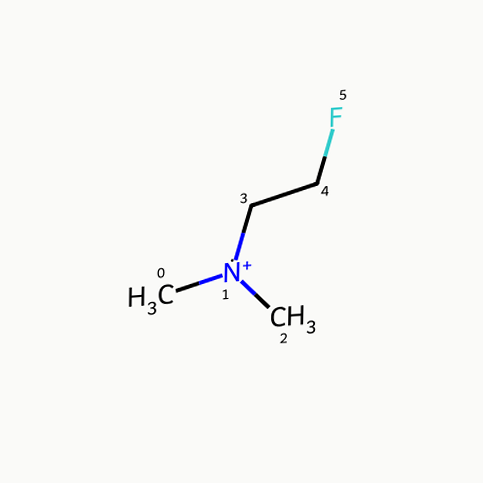 C[N+](C)CCF